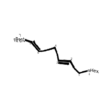 [CH2]CCCCCCC=CCC=CCCCCC